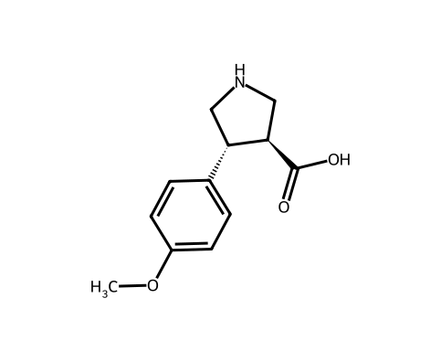 COc1ccc([C@@H]2CNC[C@H]2C(=O)O)cc1